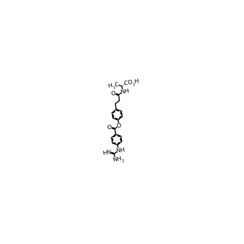 C[C@@H](NC(=O)CCc1ccc(OC(=O)c2ccc(NC(=N)N)cc2)cc1)C(=O)O